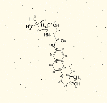 CC(C)(C)OC(=O)N[C@H](CO)C(=O)Oc1ccc2c(c1)CCC1C2CC[C@@]2(C)C1CC[C@@H]2O